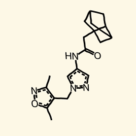 Cc1noc(C)c1Cn1cc(NC(=O)CC23CC4CC(C2)C3C4)cn1